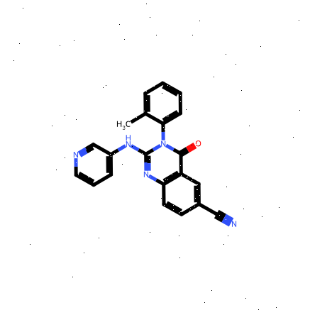 Cc1ccccc1-n1c(Nc2cccnc2)nc2ccc(C#N)cc2c1=O